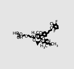 COc1nccc(CN(C(=O)C2=C(c3ccc(CCCOc4c(F)ccc(F)c4Cl)cc3)C(C)(C)CN(C(=O)OCCOCCON(O)O)C2)C2CC2)c1C